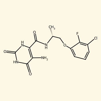 C[C@H](COc1cccc(Cl)c1F)NC(=O)c1[nH]c(=O)[nH]c(=O)c1N